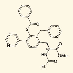 CCC(=O)N[C@@H](Cc1ccc(-c2cccnc2)c(SC(=O)c2ccccc2)c1Cc1ccccc1)C(=O)OC